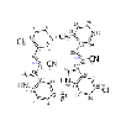 N#C/C(=C\c1cnccc1Cl)c1c[nH]c2ccc(Br)cc12.N#C/C(=C\c1cnccc1Cl)c1c[nH]c2ccc(Cl)cc12